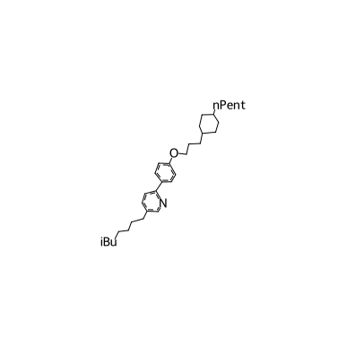 CCCCCC1CCC(CCCOc2ccc(-c3ccc(CCCCC(C)CC)cn3)cc2)CC1